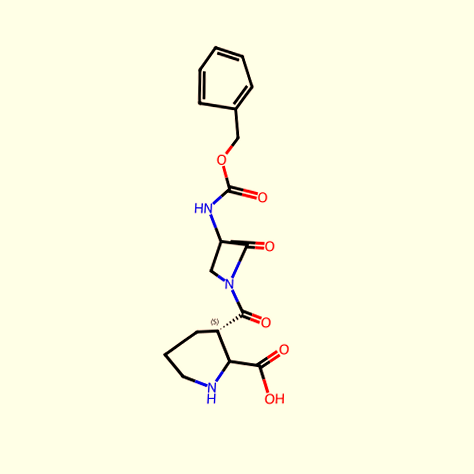 O=C(NC1CN(C(=O)[C@H]2CCCNC2C(=O)O)C1=O)OCc1ccccc1